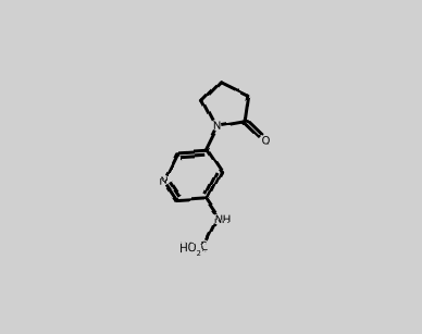 O=C(O)Nc1cncc(N2CCCC2=O)c1